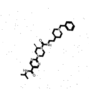 CC(C)NC(=O)c1cnc(N2CCN(C(=O)NCCC3CCN(Cc4ccccc4)CC3)[C@H](C)C2)nc1